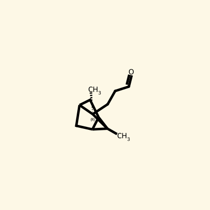 CC12C3CC(CC31)[C@@]2(C)CCC=O